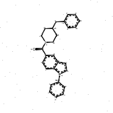 O=C(c1ccc2c(ccn2-c2ccncc2)c1)N1CCC(Cc2ccccc2)CC1